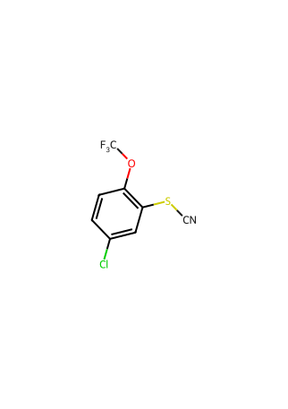 N#CSc1cc(Cl)ccc1OC(F)(F)F